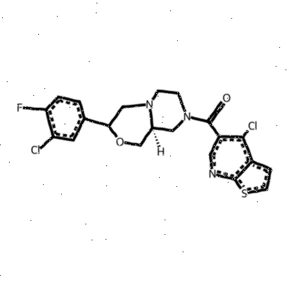 O=C(c1cnc2sccc2c1Cl)N1CCN2CC(c3ccc(F)c(Cl)c3)OC[C@@H]2C1